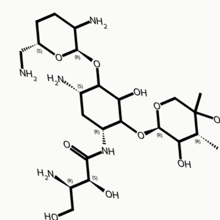 C[C@@H]1C(O)[C@@H](OC2C(O)C(O[C@H]3O[C@H](CN)CCC3N)[C@@H](N)C[C@H]2NC(=O)[C@@H](O)[C@H](N)CO)OCC1(C)O